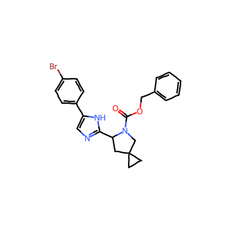 O=C(OCc1ccccc1)N1CC2(CC2)CC1c1ncc(-c2ccc(Br)cc2)[nH]1